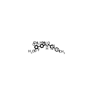 COc1cc(OC)c(F)c(-c2ccc3c(NC(=O)c4cnc(N5CCN(C)CC5)nc4)n[nH]c3c2)c1F